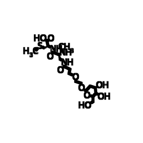 CN[C@@H](CNC(=O)CCOCCOC1C[C@@H](O)C(O)C(CO)O1)C(=O)N[C@H](CSC)C(=O)O